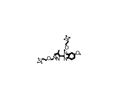 COc1ccc2nc(-c3nn(COCC[Si](C)(C)C)cc3C)n(COCC[Si](C)(C)C)c2c1